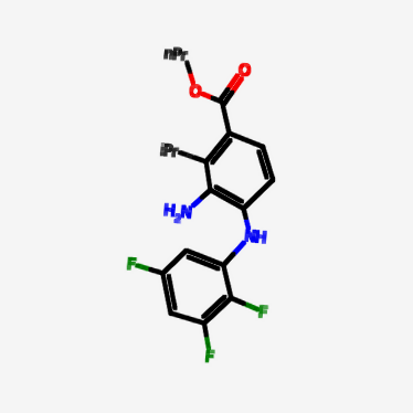 CCCOC(=O)c1ccc(Nc2cc(F)cc(F)c2F)c(N)c1C(C)C